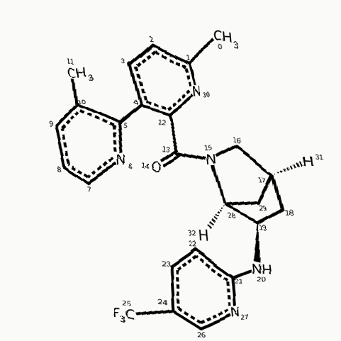 Cc1ccc(-c2ncccc2C)c(C(=O)N2C[C@H]3C[C@@H](Nc4ccc(C(F)(F)F)cn4)[C@@H]2C3)n1